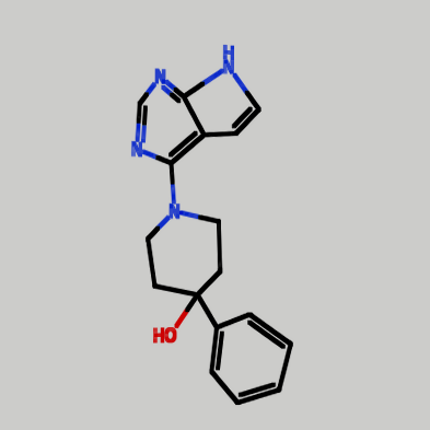 OC1(c2ccccc2)CCN(c2ncnc3[nH]ccc23)CC1